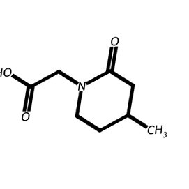 CC1CCN(CC(=O)O)C(=O)C1